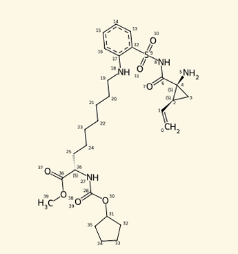 C=C[C@@H]1C[C@@]1(N)C(=O)NS(=O)(=O)c1ccccc1NCCCCCCC[C@H](NC(=O)OC1CCCC1)C(=O)OC